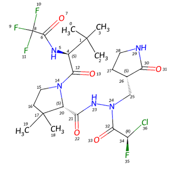 CC(C)(C)[C@H](NC(=O)C(F)(F)F)C(=O)N1CCC(C)(C)[C@H]1C(=O)NN(C[C@@H]1CCNC1=O)C(=O)[C@H](F)Cl